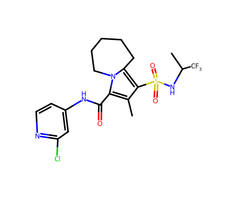 Cc1c(S(=O)(=O)NC(C)C(F)(F)F)c2n(c1C(=O)Nc1ccnc(Cl)c1)CCCCC2